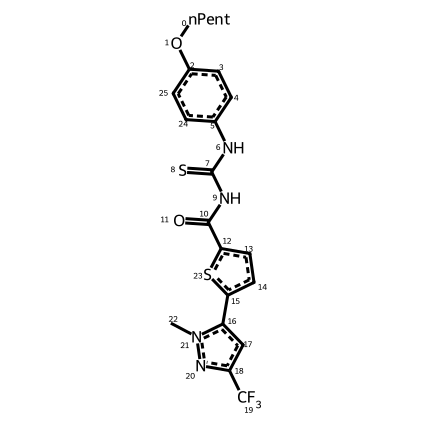 CCCCCOc1ccc(NC(=S)NC(=O)c2ccc(-c3cc(C(F)(F)F)nn3C)s2)cc1